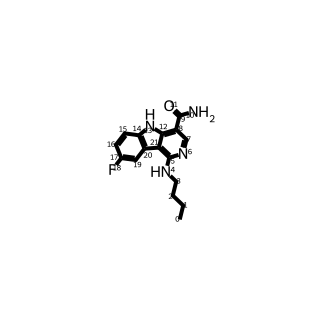 CCCCNc1ncc(C(N)=O)c2[nH]c3ccc(F)cc3c12